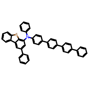 c1ccc(-c2ccc(-c3ccc(-c4ccc(N(c5ccccc5)c5cc(-c6ccccc6)cc6c5sc5ccccc56)cc4)cc3)cc2)cc1